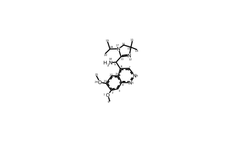 COc1cc2nncc(C(N)C3=NC(C)(C)CN3C(C)C)c2cc1OC